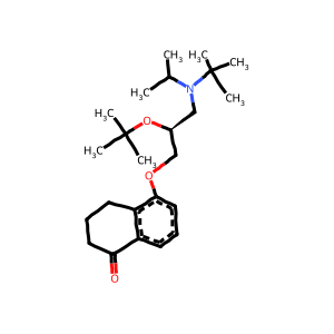 CC(C)N(C[C@@H](COc1cccc2c1CCCC2=O)OC(C)(C)C)C(C)(C)C